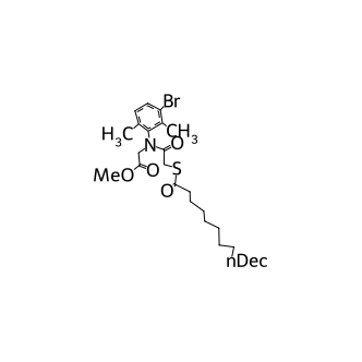 CCCCCCCCCCCCCCCCCC(=O)SCC(=O)N(CC(=O)OC)c1c(C)ccc(Br)c1C